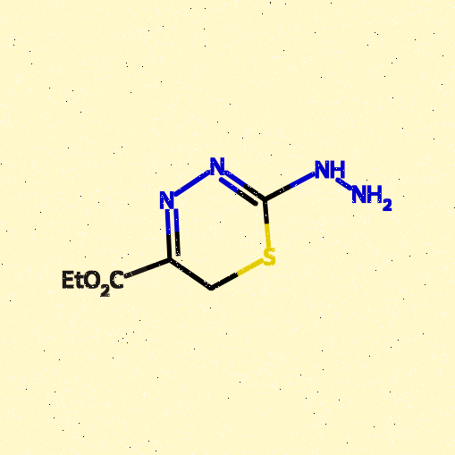 CCOC(=O)C1=NN=C(NN)SC1